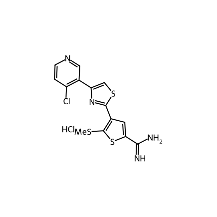 CSc1sc(C(=N)N)cc1-c1nc(-c2cnccc2Cl)cs1.Cl